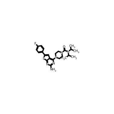 CC(C)N(C(=O)N1CCN(c2nc(N)nc3sc(-c4ccc(F)cc4)cc23)CC1)C(C)C